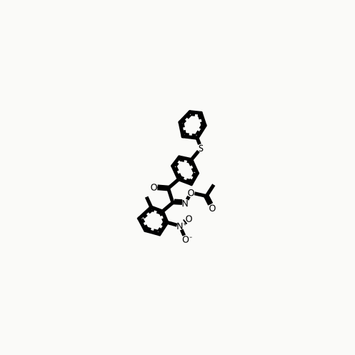 CC(=O)O/N=C(\C(=O)c1ccc(Sc2ccccc2)cc1)c1c(C)cccc1[N+](=O)[O-]